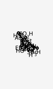 CCN(CC)c1ccc(/N=N/c2nc(N3CCCCC3)c(/C=C(/C(C)=O)C(=O)Nc3ccccc3S(=O)(=O)O)s2)c(Nc2nc(Nc3cc(N(CC)CC)ccc3/N=N/c3nc(N4CCCCC4)c(/C=C(\C(C)=O)C(=O)Nc4ccccc4S(=O)(=O)O)s3)nc(SCCO)n2)c1